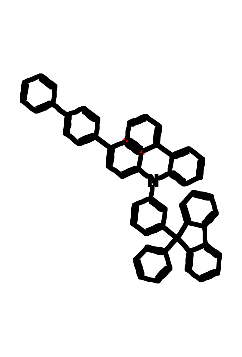 c1ccc(-c2ccc(-c3ccc(N(c4cccc(C5(c6ccccc6)c6ccccc6-c6ccccc65)c4)c4ccccc4-c4ccccc4)cc3)cc2)cc1